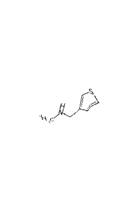 [CH2]NCc1ccsc1